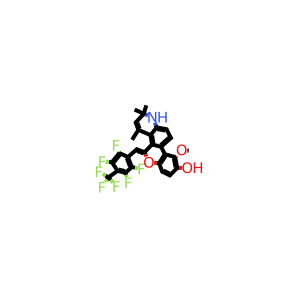 COc1c(O)ccc2c1-c1ccc3c(c1/C(=C/c1c(F)c(F)c(C(F)(F)F)c(F)c1F)O2)C(C)=CC(C)(C)N3